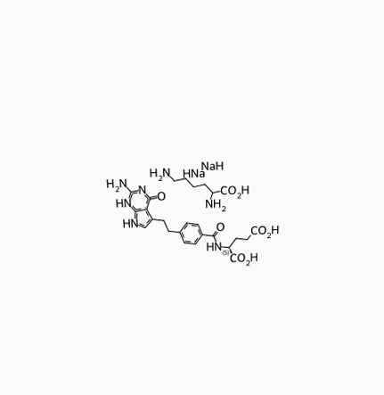 NCCCCC(N)C(=O)O.Nc1nc(=O)c2c(CCc3ccc(C(=O)N[C@@H](CCC(=O)O)C(=O)O)cc3)c[nH]c2[nH]1.[NaH].[NaH]